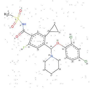 CS(=O)(=O)NC(=O)c1cc(C2CC2)c(C(Oc2ccc(Cl)cc2Cl)N2CCCCC2)cc1F